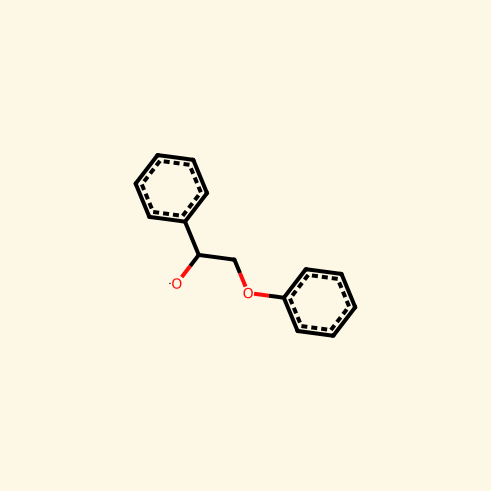 [O]C(COc1ccccc1)c1ccccc1